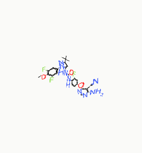 CCOc1c(F)cc(-n2nc(C(C)(C)C)cc2NC(=O)Nc2ccc(Oc3ncnc(N)c3C#N)cc2F)cc1F